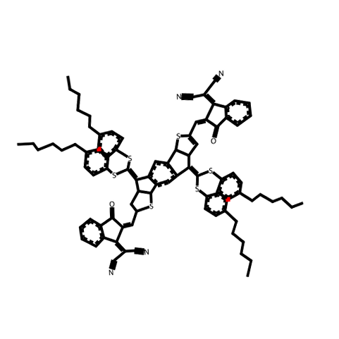 CCCCCCc1ccc(SC(Sc2ccc(CCCCCC)cc2)=C2c3cc4c(cc3C3SC(/C=C5\C(=O)c6ccccc6C5=C(C#N)C#N)=CC23)C(=C(Sc2ccc(CCCCCC)cc2)Sc2ccc(CCCCCC)cc2)C2CC(/C=C3\C(=O)c5ccccc5C3=C(C#N)C#N)SC42)cc1